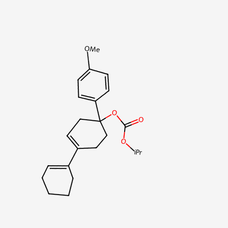 COc1ccc(C2(OC(=O)OC(C)C)CC=C(C3=CCCCC3)CC2)cc1